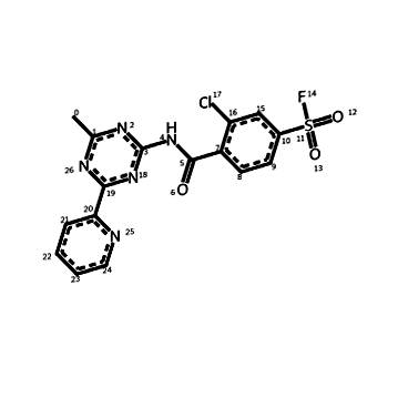 Cc1nc(NC(=O)c2ccc(S(=O)(=O)F)cc2Cl)nc(-c2ccccn2)n1